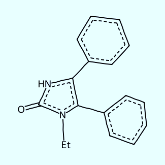 CCn1c(-c2ccccc2)c(-c2ccccc2)[nH]c1=O